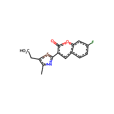 Cc1nc(-c2cc3ccc(F)cc3oc2=O)sc1CC(=O)O